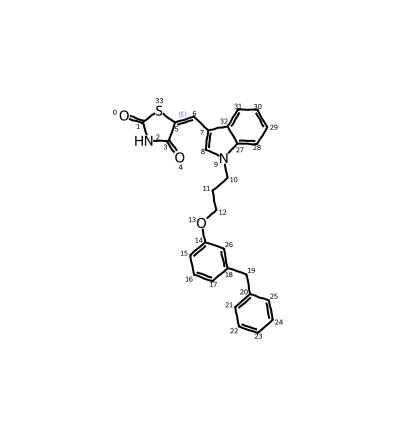 O=C1NC(=O)/C(=C\c2cn(CCCOc3cccc(Cc4ccccc4)c3)c3ccccc23)S1